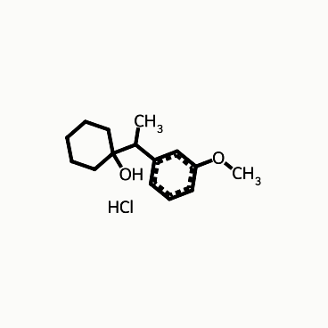 COc1cccc(C(C)C2(O)CCCCC2)c1.Cl